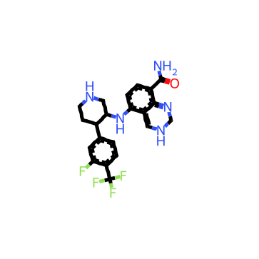 NC(=O)c1ccc(NC2CNCCC2c2ccc(C(F)(F)F)c(F)c2)c2c1=NCNC=2